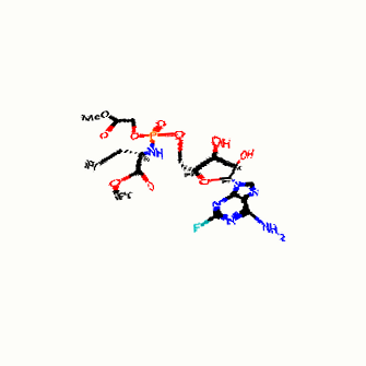 COC(=O)COP(=O)(N[C@@H](CC(C)C)C(=O)OC(C)C)OC[C@H]1O[C@@H](n2cnc3c(N)nc(F)nc32)[C@H](O)C1O